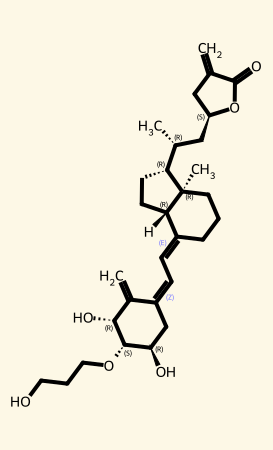 C=C1C[C@H](C[C@@H](C)[C@H]2CC[C@H]3/C(=C/C=C4/C[C@@H](O)[C@H](OCCCO)[C@H](O)C4=C)CCC[C@]23C)OC1=O